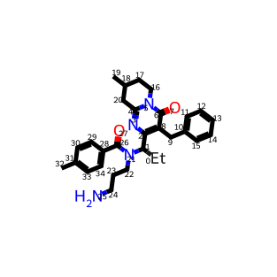 CCC(c1nc2n(c(=O)c1Cc1ccccc1)CCC(C)C2)N(CCCN)C(=O)c1ccc(C)cc1